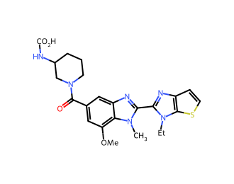 CCn1c(-c2nc3cc(C(=O)N4CCCC(NC(=O)O)C4)cc(OC)c3n2C)nc2ccsc21